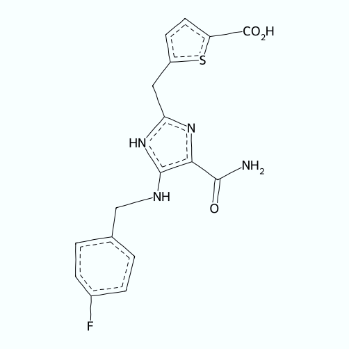 NC(=O)c1nc(Cc2ccc(C(=O)O)s2)[nH]c1NCc1ccc(F)cc1